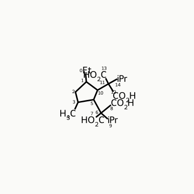 CCC1CC(C)C(C(C(=O)O)(C(=O)O)C(C)C)C1C(C(=O)O)(C(=O)O)C(C)C